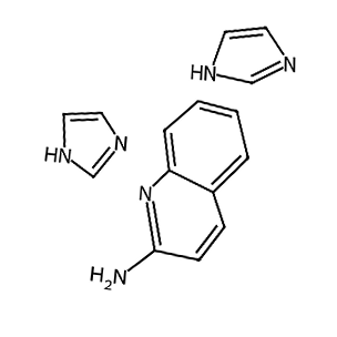 Nc1ccc2ccccc2n1.c1c[nH]cn1.c1c[nH]cn1